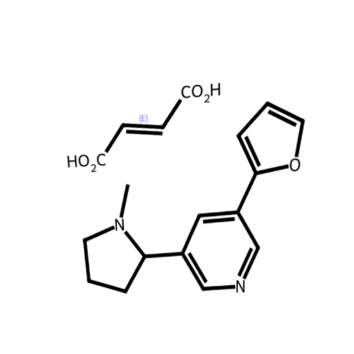 CN1CCCC1c1cncc(-c2ccco2)c1.O=C(O)/C=C/C(=O)O